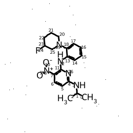 CC(C)Nc1ccc([N+](=O)[O-])c(Nc2ccccc2N2CCCC(F)C2)n1